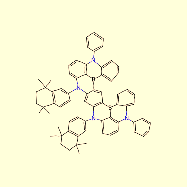 CC1(C)CCC(C)(C)c2cc(N3c4cc5c(cc4B4c6ccccc6N(c6ccccc6)c6cccc3c64)B3c4ccccc4N(c4ccccc4)c4cccc(c43)N5c3ccc4c(c3)C(C)(C)CCC4(C)C)ccc21